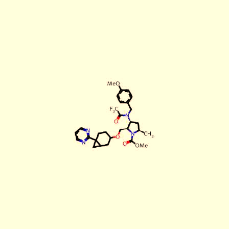 COC(=O)N1[C@H](C)C[C@H](N(Cc2ccc(OC)cc2)C(=O)C(F)(F)F)[C@@H]1COC1CCC2(c3ncccn3)CC2C1